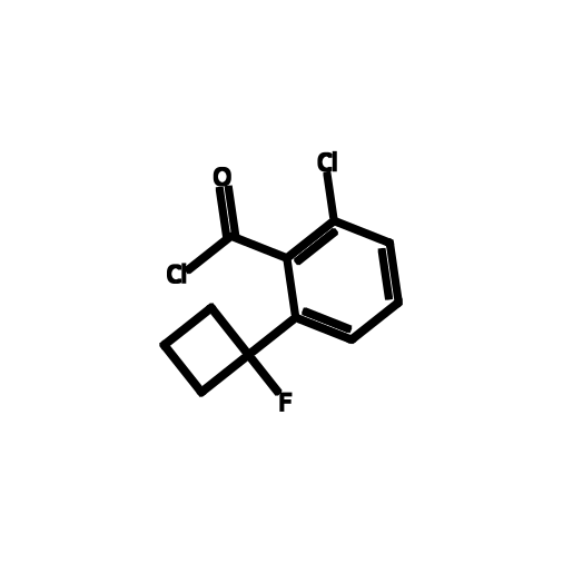 O=C(Cl)c1c(Cl)cccc1C1(F)CCC1